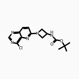 CC(C)(C)OC(=O)NC1CN(c2ccc3ncnc(Cl)c3n2)C1